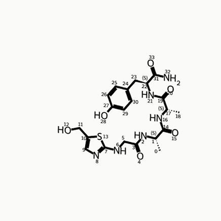 C[C@H](NC(=O)CNc1ncc(CO)s1)C(=O)N[C@@H](C)C(=O)N[C@@H](Cc1ccc(O)cc1)C(N)=O